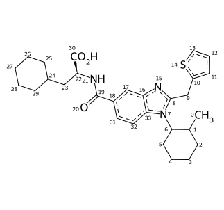 CC1CCCCC1n1c(Cc2cccs2)nc2cc(C(=O)N[C@@H](CC3CCCCC3)C(=O)O)ccc21